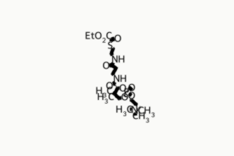 CCOC(=O)C(=O)SCCNC(=O)CCNC(=O)[C@@H]1OP(=O)(OCC[N+](C)(C)C)OCC1(C)C